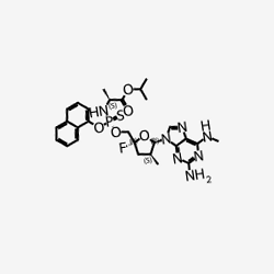 CNc1nc(N)nc2c1ncn2[C@@H]1O[C@](F)(COP(=S)(N[C@@H](C)C(=O)OC(C)C)Oc2cccc3ccccc23)C[C@@H]1C